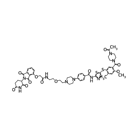 COc1cc(C)c(Sc2cnc(NC(=O)c3ccc(N4CCN(CCOCCNC(=O)COc5cccc6c5C(=O)N(C5CCC(=O)NC5=O)C6=O)CC4)cc3)s2)cc1C(=O)N1CCN(C(C)=O)CC1